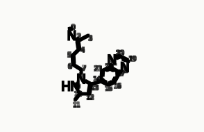 C=N/C(C)=C\C=C/CN1NC(C)C=C1c1ccc2nccnc2c1